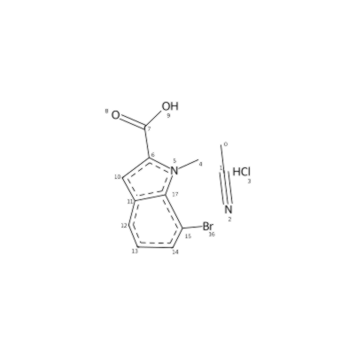 CC#N.Cl.Cn1c(C(=O)O)cc2cccc(Br)c21